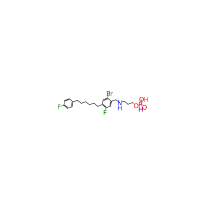 O=[PH](O)OCCCNCc1cc(F)c(CCCCCCc2ccc(F)cc2)cc1Br